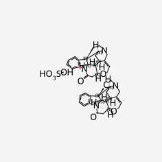 O=C1C[C@@H]2OCC=C3CN4CC[C@]56c7ccccc7N1[C@H]5[C@H]2[C@H]3C[C@H]46.O=C1C[C@@H]2OCC=C3CN4CC[C@]56c7ccccc7N1[C@H]5[C@H]2[C@H]3C[C@H]46.O=S(=O)(O)O